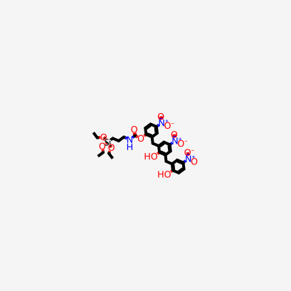 CCO[Si](CCCNC(=O)Oc1ccc([N+](=O)[O-])cc1Cc1cc([N+](=O)[O-])cc(Cc2cc([N+](=O)[O-])ccc2O)c1O)(OCC)OCC